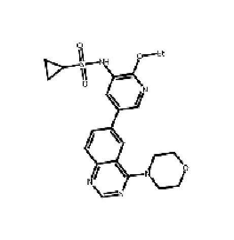 CCOc1ncc(-c2ccc3ncnc(N4CCOCC4)c3c2)cc1NS(=O)(=O)C1CC1